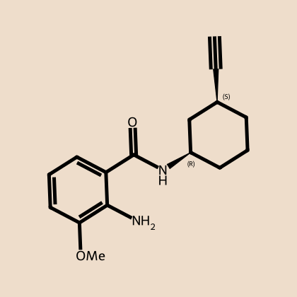 C#C[C@H]1CCC[C@@H](NC(=O)c2cccc(OC)c2N)C1